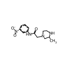 CC1CN(CC(=O)Nc2cccc([N+](=O)[O-])c2)CCN1